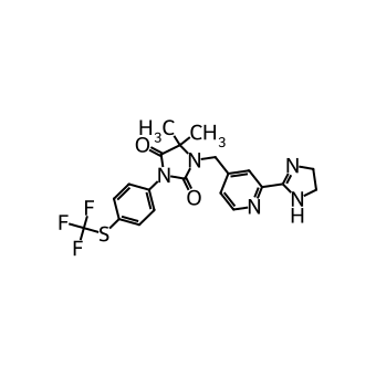 CC1(C)C(=O)N(c2ccc(SC(F)(F)F)cc2)C(=O)N1Cc1ccnc(C2=NCCN2)c1